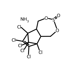 N.O=S1OCC2C(CO1)C1(Cl)C(Cl)=C(Cl)C2(Cl)C1(Cl)Cl